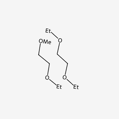 CCOCCOC.CCOCCOCC